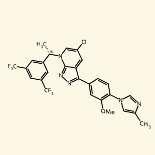 COc1cc(-c2nnc3n([C@@H](C)c4cc(C(F)(F)F)cc(C(F)(F)F)c4)cc(Cl)cc2-3)ccc1-n1cnc(C)c1